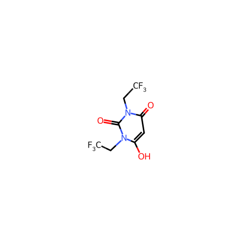 O=c1cc(O)n(CC(F)(F)F)c(=O)n1CC(F)(F)F